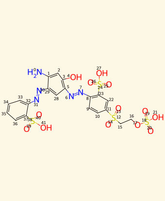 Nc1cc(O)c(/N=N/c2ccc(S(=O)(=O)CCOS(=O)(=O)O)cc2S(=O)(=O)O)cc1/N=N/c1ccccc1S(=O)(=O)O